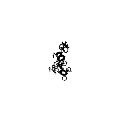 COc1ccc(CN(c2ncns2)S(=O)(=O)c2ccc3c(B4OC(C)(C)C(C)(C)O4)cn(C)c3c2)c(OC)c1